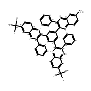 Nc1ccc2nc(-c3cc(-c4nc5ccc(C(F)(F)F)cc5nc4-c4ccccc4)cc(-c4nc5ccc(C(F)(F)F)cc5nc4-c4ccccc4)c3)c(-c3ccccc3)nc2c1